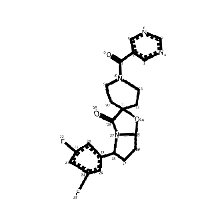 O=C(c1cncnc1)N1CCC2(CC1)OC1CCC(c3cc(F)cc(F)c3)N1C2=O